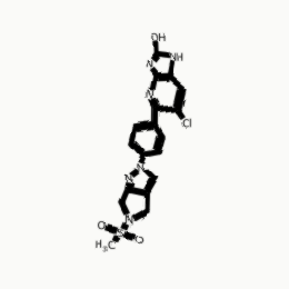 CS(=O)(=O)N1Cc2cn(-c3ccc(-c4nc5nc(O)[nH]c5cc4Cl)cc3)nc2C1